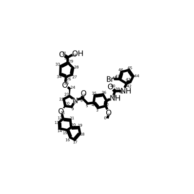 COc1cc(CC(=O)N2C[C@@H](Oc3ccc4ccccc4c3)C[C@H]2COc2ccc(C(=O)O)cc2)ccc1NC(=O)Nc1ccccc1Br